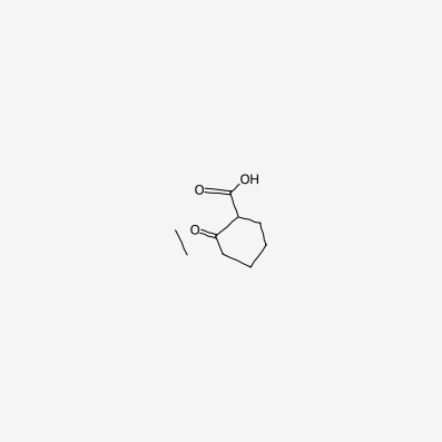 CC.O=C(O)C1CCCCC1=O